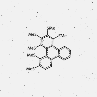 CSc1ccc2c3ccccc3c3c(SC)c(SC)c(SC)c(SC)c3c2c1SC